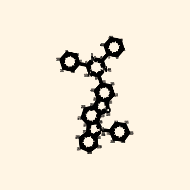 c1ccc(-c2nc(-c3ccccc3)nc(-c3ccc4oc5c(ccc6c7ccccc7n(-c7ccccc7)c65)c4c3)n2)cc1